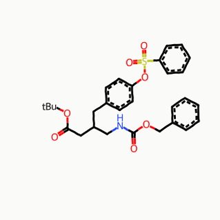 CC(C)(C)OC(=O)CC(CNC(=O)OCc1ccccc1)Cc1ccc(OS(=O)(=O)c2ccccc2)cc1